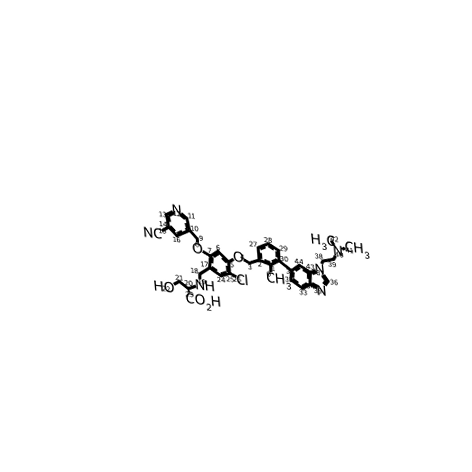 Cc1c(COc2cc(OCc3cncc(C#N)c3)c(CN[C@H](CO)C(=O)O)cc2Cl)cccc1-c1ccc2ncn(CCN(C)C)c2c1